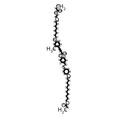 C=CC(=O)OCCCCCCCCCCCOC1CCC(SCc2ccc(OC(=O)C#Cc3ccc(OCCCCCCCCOCCOC(=O)C=C)cc3C)cc2)CC1